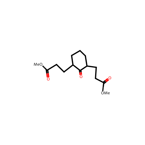 COC(=O)CCC1CCCC(CCC(=O)OC)C1=O